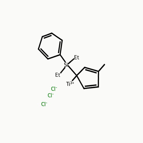 CC[Si](CC)(c1ccccc1)[C]1([Ti+3])C=CC(C)=C1.[Cl-].[Cl-].[Cl-]